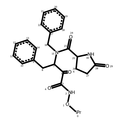 CC(C)ONC(=O)C(=O)C(Cc1ccccc1)N(Cc1ccccc1)C(=O)C1CCC(=O)N1